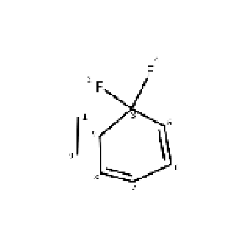 CC.FC1(F)C=CC=CC1